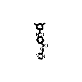 Cc1cc(C)cc(-c2nc3ccc(C(=O)OCc4cnccn4)cc3o2)c1